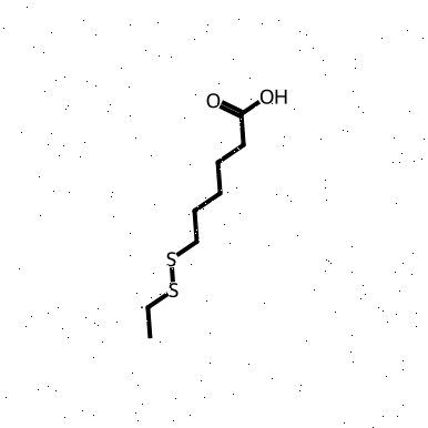 C[CH]SSCCCCCC(=O)O